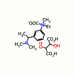 CC[N+](C)(C(=O)[O-])c1cccc(C(C)N(C)C)c1.O=C(O)C(O)C(O)C(=O)O